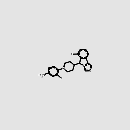 O=[N+]([O-])c1ccc(N2CCC(C3c4c(F)cccc4-c4cncn43)CC2)c(F)c1